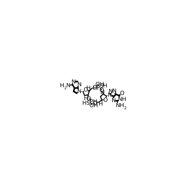 Nc1nc2c(nnn2[C@@H]2O[C@@H]3CO[PH](O)(S)O[C@H]4C[C@H](n5ccc6c(N)ncnc65)O[C@@H]4CO[PH](O)(S)O[C@@H]2C3)c(=O)[nH]1